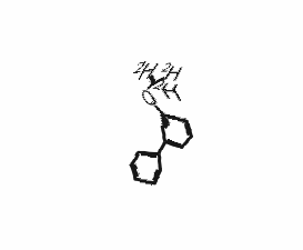 [2H]C([2H])([2H])Oc1cccc(-c2ccccc2)c1